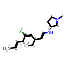 CN1CC[C@@H](NC=CC(/C=C(/Br)C/C=C/[N+](=O)[O-])CC=O)C1